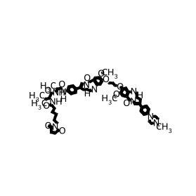 COc1cc2c(cc1OCCCOc1cc3c(cc1OC)C(=O)N1C=C(c4ccc(N5CCN(C)CC5)cc4)C[C@H]1C=N3)N=C[C@@H]1CC(c3ccc(NC(=O)C(C)NC(=O)C(NC(=O)CCCCCN4C(=O)C=CC4=O)C(C)C)cc3)=CN1C2=O